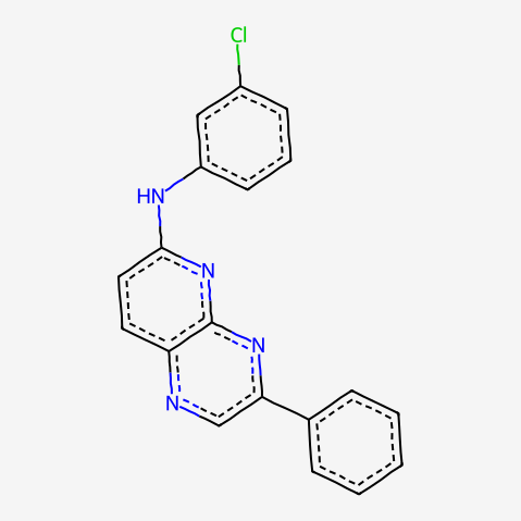 Clc1cccc(Nc2ccc3ncc(-c4ccccc4)nc3n2)c1